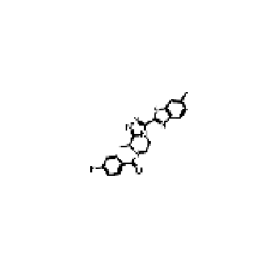 Cc1ccc2nc(-c3nnc4n3CCN(C(=O)c3ccc(F)cc3)C4C)sc2c1